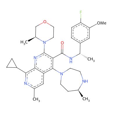 COc1cc([C@H](C)NC(=O)c2c(N3CCOC[C@@H]3C)nc3c(C4CC4)nc(C)cc3c2N2CCN[C@@H](C)CC2)ccc1F